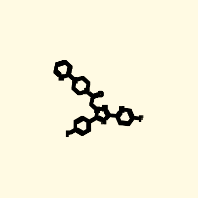 O=C(Cn1nc(-c2ccc(F)cn2)nc1-c1ccc(F)cc1)N1CCN(c2ccccn2)CC1